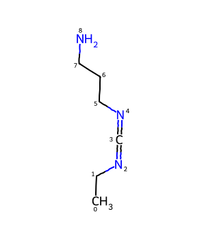 CCN=C=NCCCN